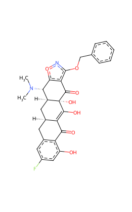 CN(C)[C@@H]1c2onc(OCc3ccccc3)c2C(=O)[C@@]2(O)C(O)=C3C(=O)c4c(O)cc(F)cc4C[C@H]3C[C@@H]12